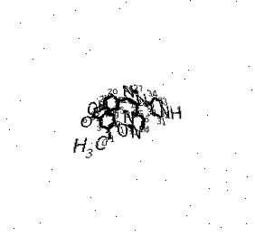 CCc1cc(C(=O)O)ccc1Oc1nccc(-c2c(-c3ccc(F)cc3)ncn2C2CCNCC2)n1